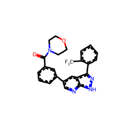 O=C(c1cccc(-c2cnc3[nH]nc(-c4ccccc4C(F)(F)F)c3c2)c1)N1CCOCC1